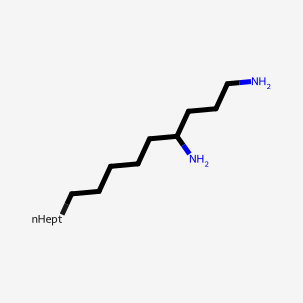 CCCCCCCCCCCCC(N)CCCN